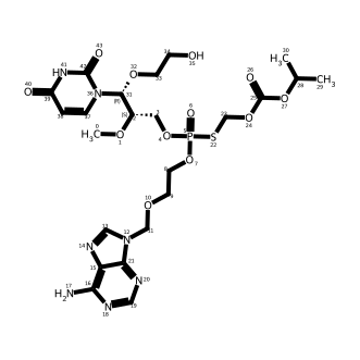 CO[C@@H](COP(=O)(OCCOCn1cnc2c(N)ncnc21)SCOC(=O)OC(C)C)[C@@H](OCCO)n1ccc(=O)[nH]c1=O